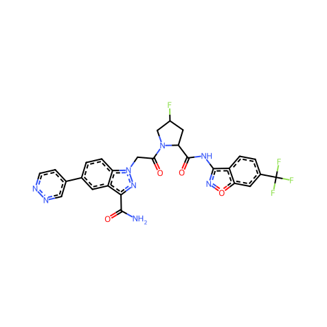 NC(=O)c1nn(CC(=O)N2CC(F)CC2C(=O)Nc2noc3cc(C(F)(F)F)ccc23)c2ccc(-c3ccnnc3)cc12